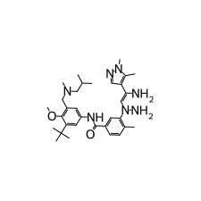 COc1c(CN(C)CC(C)C)cc(NC(=O)c2ccc(C)c(N(N)/C=C(\N)c3cnn(C)c3C)c2)cc1C(C)(C)C